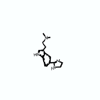 CN(C)CCc1c[nH]c2ccc(C3=NCCN3)cc12